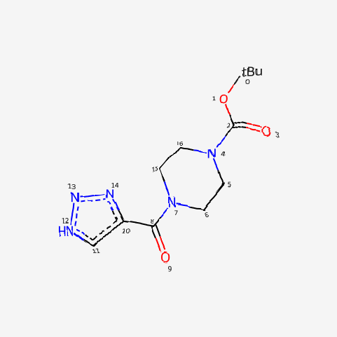 CC(C)(C)OC(=O)N1CCN(C(=O)c2c[nH]nn2)CC1